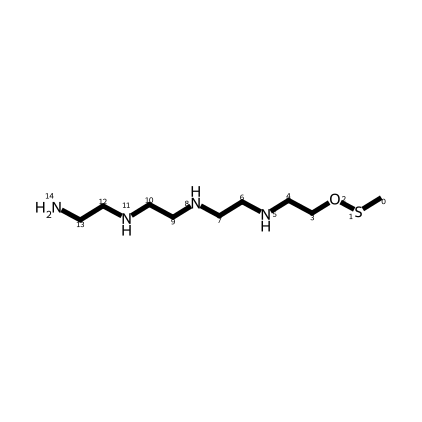 CSOCCNCCNCCNCCN